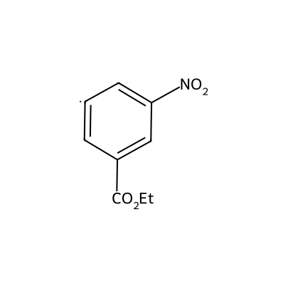 CCOC(=O)c1c[c]cc([N+](=O)[O-])c1